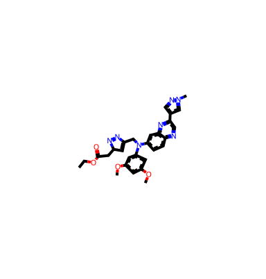 CCOC(=O)CC1C=C(CN(c2cc(OC)cc(OC)c2)c2ccc3ncc(-c4cnn(C)c4)nc3c2)N=N1